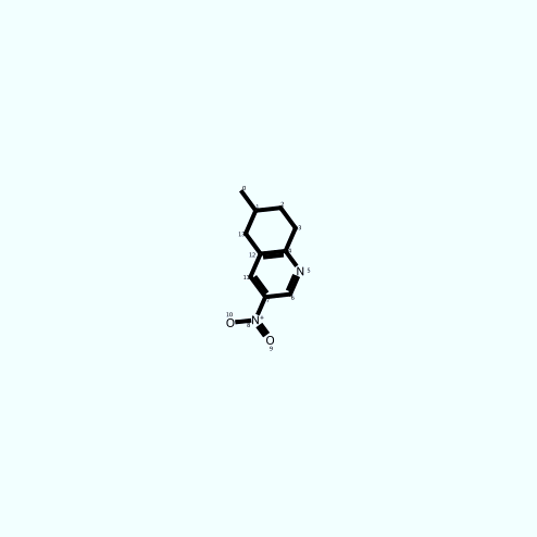 CC1CCc2ncc([N+](=O)[O-])cc2C1